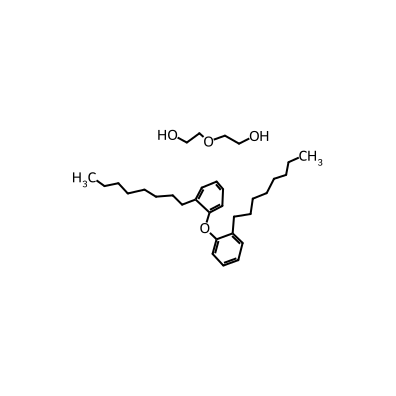 CCCCCCCCc1ccccc1Oc1ccccc1CCCCCCCC.OCCOCCO